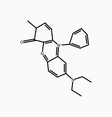 CCN(CC)c1ccc2nc3c([n+](-c4ccccc4)c2c1)C=CC(C)C3=O